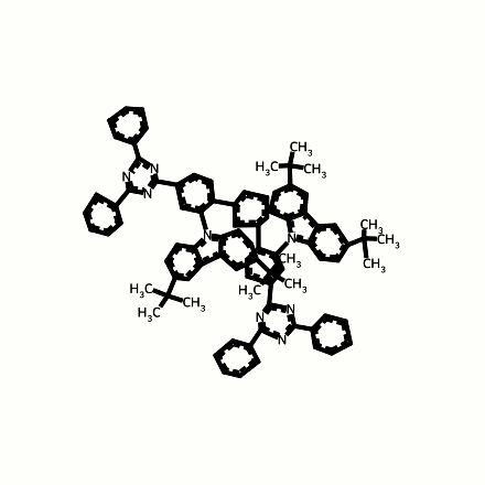 CC(C)(C)c1ccc2c(c1)c1cc(C(C)(C)C)ccc1n2-c1cc(-c2nc(-c3ccccc3)nc(-c3ccccc3)n2)ccc1-c1cccc(-c2ccc(-c3nc(-c4ccccc4)nc(-c4ccccc4)n3)cc2-n2c3ccc(C(C)(C)C)cc3c3cc(C(C)(C)C)ccc32)c1